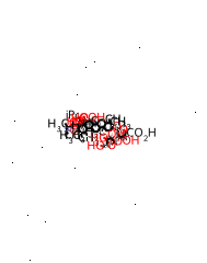 C/C=C(/C)C(=O)O[C@H]1[C@H](OC(=O)C(C)C)[C@@]2(CO)C(CC1(C)C)C1=CCC3[C@@]4(C)CC[C@H](O[C@H]5C[C@H](O[C@@H]6O[C@@H](CO)C(O)[C@@H]6O)[C@H](O)C(C(=O)O)O5)C(C)(C)C4CC[C@@]3(C)[C@]1(C)[C@@H](O)[C@H]2O